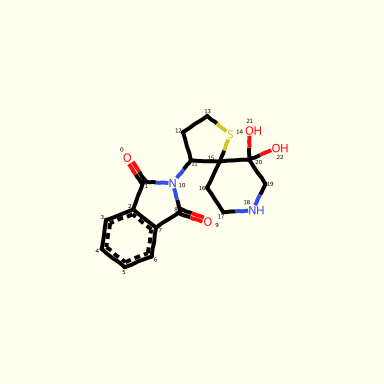 O=C1c2ccccc2C(=O)N1C1CCSC12CCNCC2(O)O